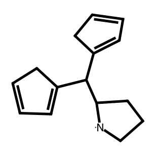 C1=CCC(C(C2=CC=CC2)C2CCC[N]2)=C1